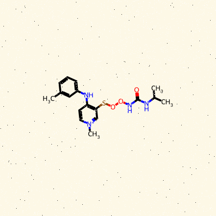 Cc1cccc(Nc2cc[n+](C)cc2SOONC(=O)NC(C)C)c1